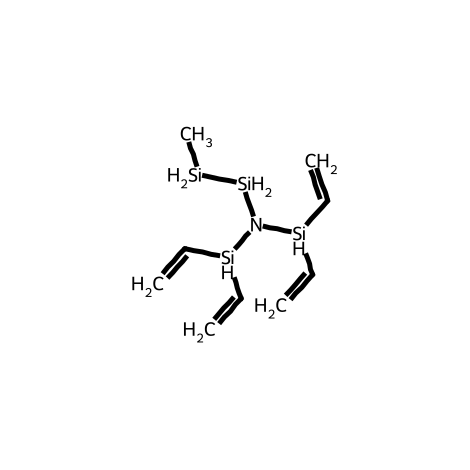 C=C[SiH](C=C)N([SiH2][SiH2]C)[SiH](C=C)C=C